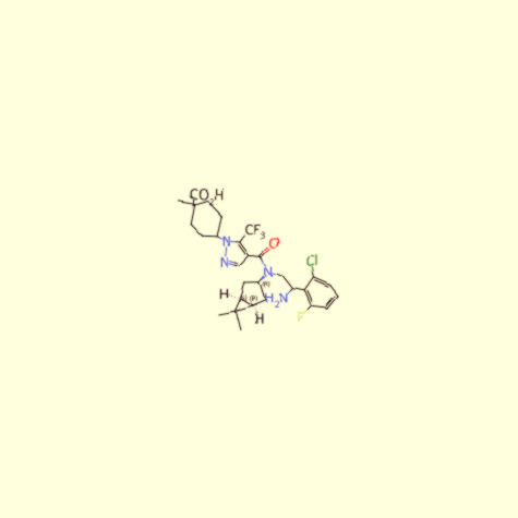 CC1(C(=O)O)CCC(n2ncc(C(=O)N(CC(N)c3c(F)cccc3Cl)[C@H]3C[C@@H]4[C@H](C3)C4(C)C)c2C(F)(F)F)CC1